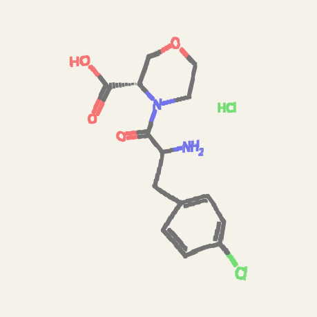 Cl.NC(Cc1ccc(Cl)cc1)C(=O)N1CCOC[C@H]1C(=O)O